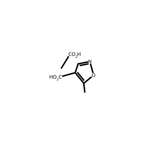 CC(=O)O.Cc1oncc1C(=O)O